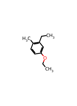 CCOc1ccc(C)c(CC)c1